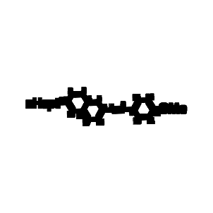 CCCCCCCc1ccc2cc(C#Cc3ccc(OC)cc3)ccc2c1